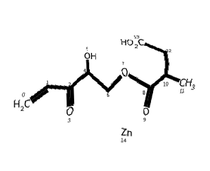 C=CC(=O)C(O)COC(=O)C(C)CC(=O)O.[Zn]